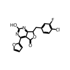 O=C1OC(Cc2ccc(Cl)c(F)c2)c2nc(O)nc(-c3ccco3)c21